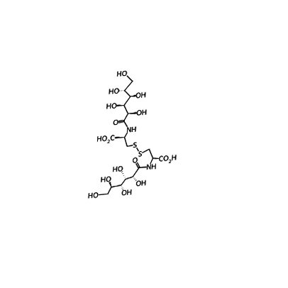 O=C(O)C(CSSC[C@H](NC(=O)[C@H](O)[C@@H](O)[C@H](O)[C@H](O)CO)C(=O)O)NC(=O)[C@H](O)[C@@H](O)[C@H](O)[C@H](O)CO